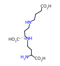 NC(CCN[C@@H](CCNCCCC(=O)O)C(=O)O)C(=O)O